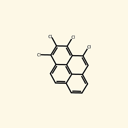 Clc1c(Cl)c2ccc3cccc4cc(Cl)c(c1Cl)c2c34